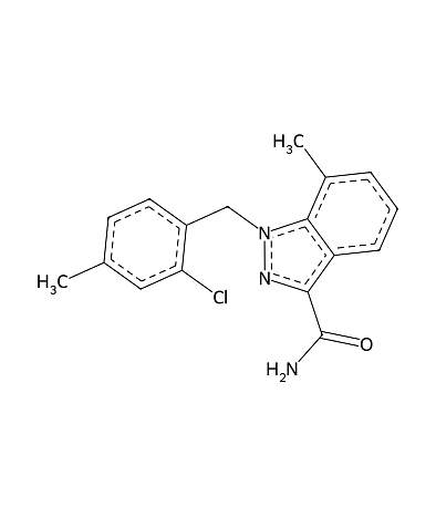 Cc1ccc(Cn2nc(C(N)=O)c3cccc(C)c32)c(Cl)c1